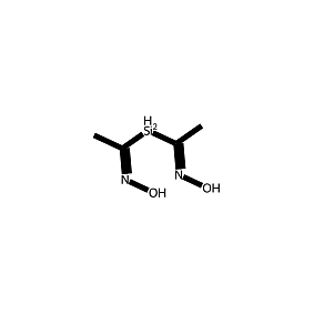 CC(=NO)[SiH2]C(C)=NO